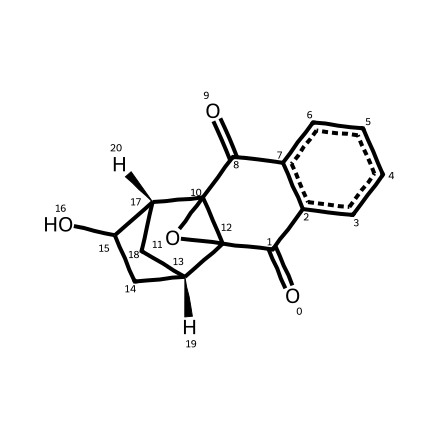 O=C1c2ccccc2C(=O)C23OC12[C@@H]1CC(O)[C@H]3C1